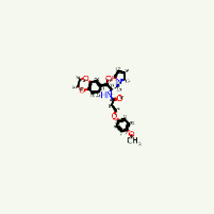 COc1ccc(OCCC(=O)N[C@@H](CN2CCCC2)[C@H](O)c2ccc3c(c2)OCCO3)cc1